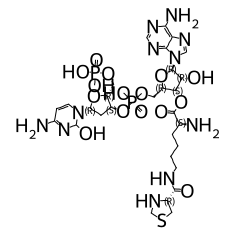 NC1=NC(O)N([C@H]2C[C@H](OP(=O)(O)OC[C@H]3O[C@@H](n4cnc5c(N)ncnc54)[C@H](O)[C@@H]3OC(=O)[C@@H](N)CCCCNC(=O)[C@@H]3CSCN3)[C@@H](COP(=O)(O)O)O2)C=C1